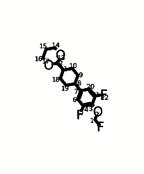 FCOc1c(F)cc(C2CCC(C3OCCCO3)CC2)cc1F